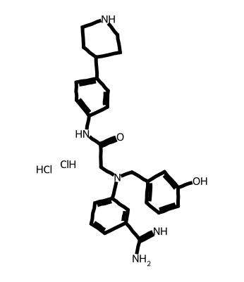 Cl.Cl.N=C(N)c1cccc(N(CC(=O)Nc2ccc(C3CCNCC3)cc2)Cc2cccc(O)c2)c1